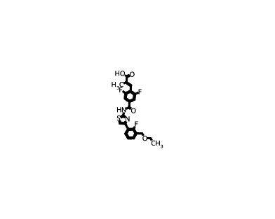 CCOCc1cccc(-c2csc(NC(=O)c3cc(F)c(C=C(C)C(=O)O)c(F)c3)n2)c1F